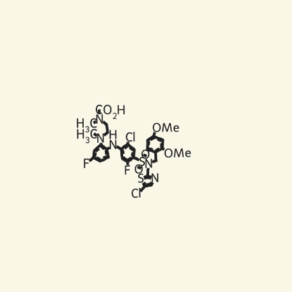 COc1ccc(CN(c2ncc(Cl)s2)S(=O)(=O)c2cc(Cl)c(Nc3ccc(F)cc3N(C)CCN(C)C(=O)O)cc2F)c(OC)c1